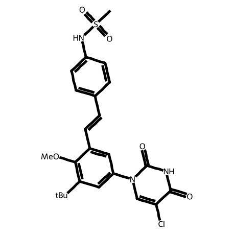 COc1c(C=Cc2ccc(NS(C)(=O)=O)cc2)cc(-n2cc(Cl)c(=O)[nH]c2=O)cc1C(C)(C)C